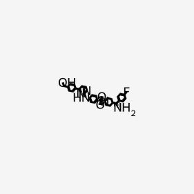 N[C@H](c1ccc(F)cc1)C1CCN(S(=O)(=O)c2ccc(Nc3nccc(-c4ccc(CO)cc4)n3)cc2)CC1